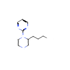 O=C(O)CCCC1CNCCN1c1ncccn1